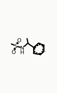 CC(NS(C)(=O)=O)c1cc[c]cc1